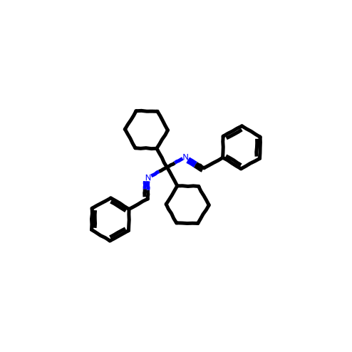 C(=NC(N=Cc1ccccc1)(C1CCCCC1)C1CCCCC1)c1ccccc1